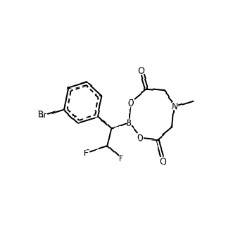 CN1CC(=O)OB(C(c2cccc(Br)c2)C(F)F)OC(=O)C1